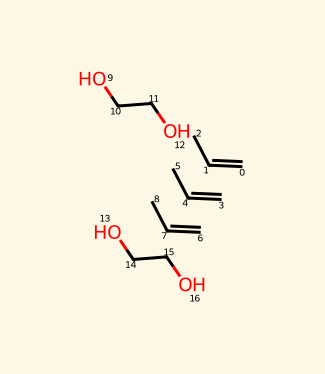 C=CC.C=CC.C=CC.OCCO.OCCO